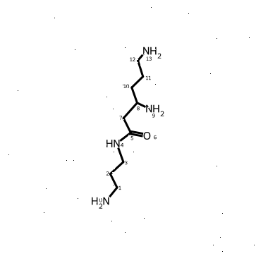 NCCCNC(=O)CC(N)CCCN